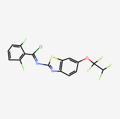 Fc1cccc(F)c1C(Cl)=Nc1nc2ccc(OC(F)(F)C(F)F)cc2s1